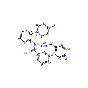 CN1CCN(c2ccccc2NC(=O)c2cccnc2NCc2ccncc2)CC1